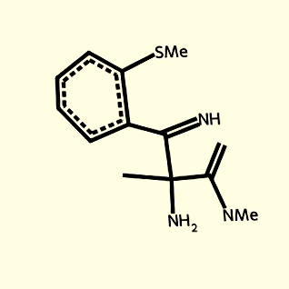 C=C(NC)C(C)(N)C(=N)c1ccccc1SC